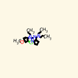 CCCN(CCC)c1nc(N(CCC)c2ccc(OC)cc2Cl)nc2c1CCC2